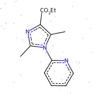 CCOC(=O)c1nc(C)n(-c2ccccn2)c1C